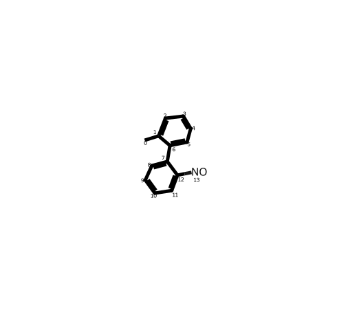 Cc1ccccc1-c1ccccc1N=O